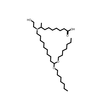 CCCCCCCOC(CCCCCCCCCN(CCO)C(C)CCCCCCC(=O)O)OCCCCCCC